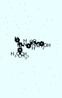 CC(C)(C)c1ccc(-n2nc(-c3ccncc3)cc2CNc2cccc(C(=O)NC(=O)[C@@H](N)Cc3ccc(O)cc3)c2)cc1